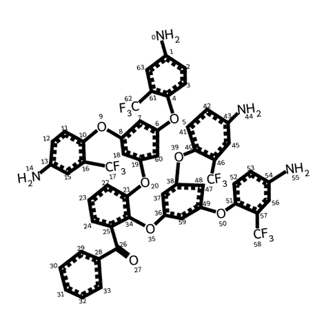 Nc1ccc(Oc2cc(Oc3ccc(N)cc3C(F)(F)F)cc(Oc3cccc(C(=O)c4ccccc4)c3Oc3cc(Oc4ccc(N)cc4C(F)(F)F)cc(Oc4ccc(N)cc4C(F)(F)F)c3)c2)c(C(F)(F)F)c1